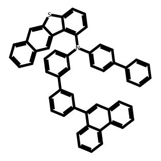 c1ccc(-c2ccc(N(c3cccc(-c4cccc(-c5cc6ccccc6c6ccccc56)c4)c3)c3cccc4sc5cc6ccccc6cc5c34)cc2)cc1